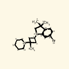 CC1(C)CN(C2CC(C)(N3CCCCC3)C2)c2cc(Br)ccc21